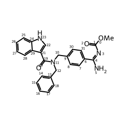 COC(=O)/N=C(/N)c1ccc(CN(Cc2ccccc2)C(=O)c2c[nH]c3ccccc23)cc1